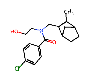 CC1C2CCC(C2)C1CN(CCO)C(=O)c1ccc(Cl)cc1